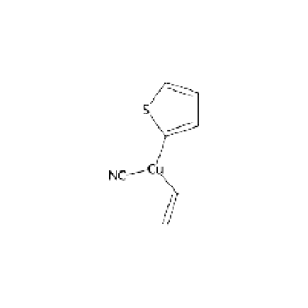 C=[CH][Cu]([C]#N)[c]1cccs1